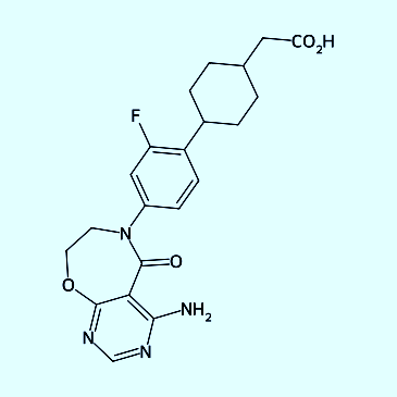 Nc1ncnc2c1C(=O)N(c1ccc(C3CCC(CC(=O)O)CC3)c(F)c1)CCO2